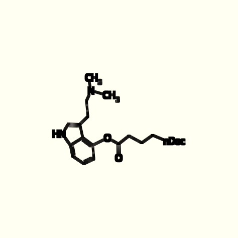 CCCCCCCCCCCCCC(=O)Oc1cccc2[nH]cc(CCN(C)C)c12